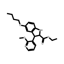 CCCCOc1ccc2c(c1)C(c1cccnc1OC)C(C(=O)OCC)N2